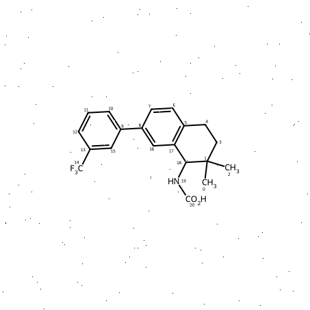 CC1(C)CCc2ccc(-c3cccc(C(F)(F)F)c3)cc2C1NC(=O)O